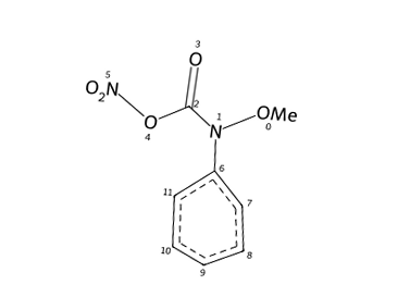 CON(C(=O)O[N+](=O)[O-])c1ccccc1